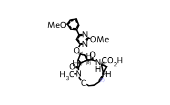 COc1cccc(-c2cc(O[C@@H]3C[C@H]4C(=O)N[C@]5(C(=O)O)C[C@H]5/C=C\CCCCN(C)C(=O)[C@@H]4C3)nc(OC)n2)c1